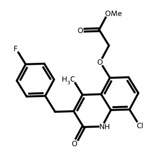 COC(=O)COc1ccc(Cl)c2[nH]c(=O)c(Cc3ccc(F)cc3)c(C)c12